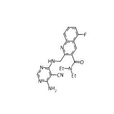 CCN(CC)C(=O)c1cc2c(F)cccc2nc1CNc1ncnc(N)c1C#N